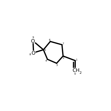 C=CC1CCC2(CC1)OO2